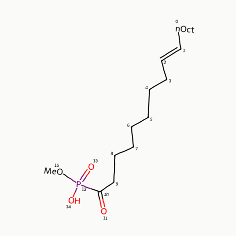 CCCCCCCCC=CCCCCCCCC(=O)P(=O)(O)OC